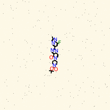 Cc1cn2cc(-c3ncc4c(=O)n(C5CCN(C(=O)OC(C)(C)C)CC5)ccc4n3)cc(F)c2n1